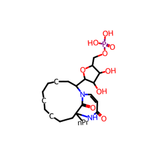 CCCC12CCCCCCCCCC(C3OC(COP(=O)(O)O)C(O)C3O)N(C=CC(=O)N1)C2=O